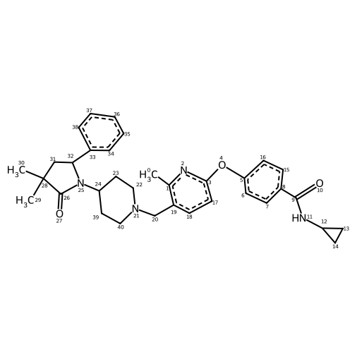 Cc1nc(Oc2ccc(C(=O)NC3CC3)cc2)ccc1CN1CCC(N2C(=O)C(C)(C)CC2c2ccccc2)CC1